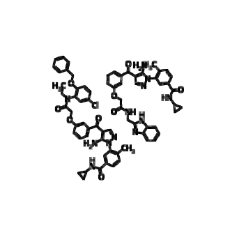 CCN(C(=O)COc1cccc(C(=O)c2cnn(-c3cc(C(=O)NC4CC4)ccc3C)c2N)c1)c1cc(Cl)ccc1OCc1ccccc1.Cc1ccc(C(=O)NC2CC2)cc1-n1ncc(C(=O)c2cccc(OCC(=O)NCc3nc4ccccc4[nH]3)c2)c1N